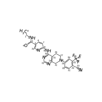 CCNC(=O)c1ccc(Nc2ncnc3c2CCN(c2ccc(C#N)c(C(F)(F)F)c2)C3)nc1